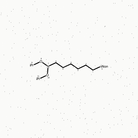 CCCCCCCCCCCCCCCN(OC(C)C)OC(C)C